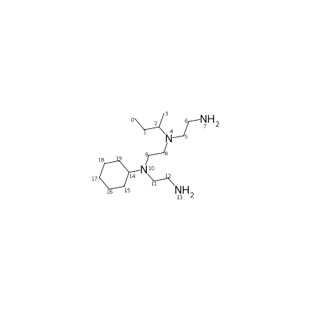 CCC(C)N(CCN)CCN(CCN)C1CCCCC1